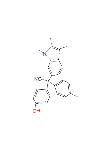 Cc1ccc(C(C#N)(c2ccc(O)cc2)c2ccc3c(C)c(C)n(C)c3c2)cc1